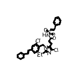 CCc1nc(Cl)c(C=CC(=O)NS(=O)(=O)C=Cc2ccccc2)n1Cc1ccc(C=Cc2ccccc2)cc1Cl